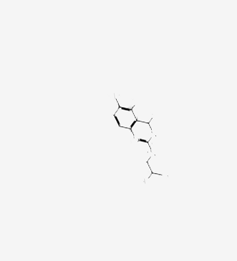 CCC1NC(NCC(F)F)=Nc2ccc(Cl)c(Cl)c21